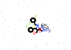 CN(C)C(=O)N1N=C(c2cc(F)ccc2F)SC12c1cc(F)ccc1OCC2CCN